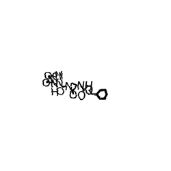 O=C(N[C@H]1CN(C(=O)NNS(=O)(=O)Cl)C1=O)OCc1ccccc1